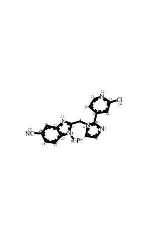 CCCn1c(Cn2ccnc2-c2ccnc(Cl)c2)nc2cc(C#N)ccc21